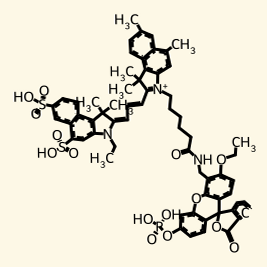 CCOc1ccc2c(c1CNC(=O)CCCCC[N+]1=C(/C=C/C=C3/N(CC)c4cc(S(=O)(=O)O)c5cc(S(=O)(=O)O)ccc5c4C3(C)C)C(C)(C)c3c1cc(C)c1cc(C)ccc31)Oc1cc(OP(=O)(O)O)ccc1C21OC(=O)c2ccccc21